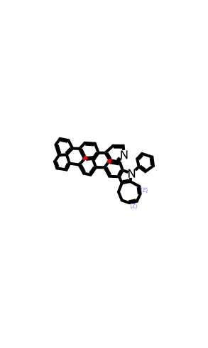 C1=C\CCc2c(n(-c3ccccc3)c3ccc(-c4ccc(-c5cccc6cccc(-c7ccc(-c8ccncc8)cc7)c56)cc4)cc23)\C=C/1